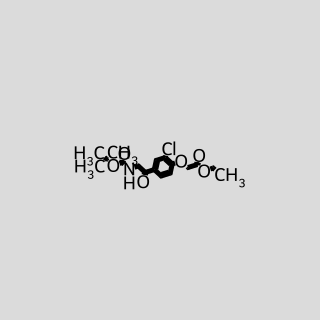 CCOC(=O)COc1ccc(C(=O)CNC(=O)OC(C)(C)C)cc1Cl